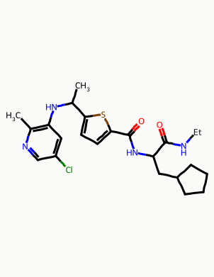 CCNC(=O)C(CC1CCCC1)NC(=O)c1ccc(C(C)Nc2cc(Cl)cnc2C)s1